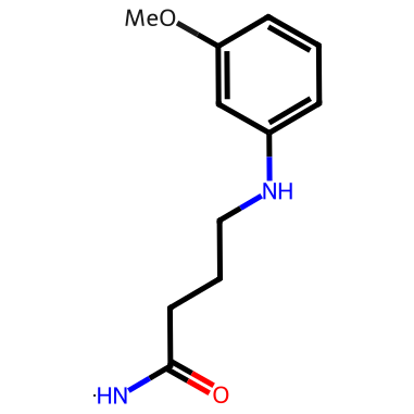 COc1cccc(NCCCC([NH])=O)c1